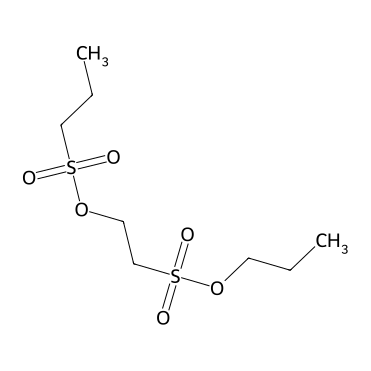 CCCOS(=O)(=O)CCOS(=O)(=O)CCC